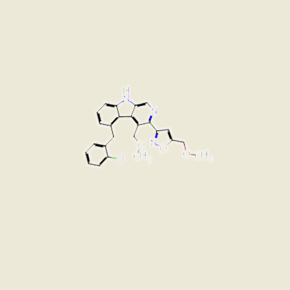 COCc1cc(-c2ncc3[nH]c4cccc(Cc5ccccc5Cl)c4c3c2COC)no1